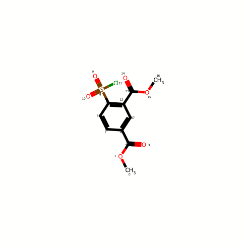 COC(=O)c1ccc(S(=O)(=O)Cl)c(C(=O)OC)c1